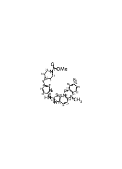 COC(=O)N1CCN(Cc2ccc(Nc3nc4ccc(N(C)c5ccc(F)cc5F)nc4s3)nc2)CC1